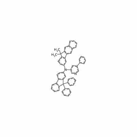 CC1(C)c2ccc(N(c3cncc(-c4ccccc4)c3)c3ccc4c(c3)C(c3ccccc3)(c3ccccc3)c3ccccc3-4)cc2-c2cc3ccccc3cc21